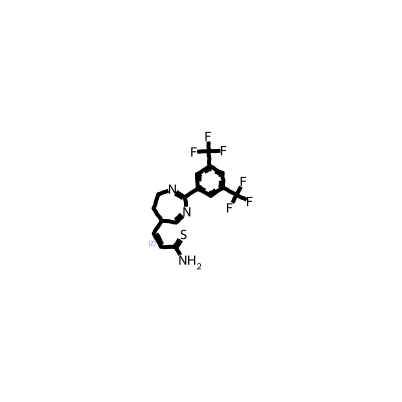 NC(=S)/C=C\C1C=NC(c2cc(C(F)(F)F)cc(C(F)(F)F)c2)=NCC1